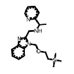 CC(NCc1nc2ccccc2n1COCC[Si](C)(C)C)c1ccccn1